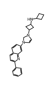 C1=CN(C2CC(NC3CCC3)C2)CN1c1ccc2ccc(-c3ccccc3)nc2c1